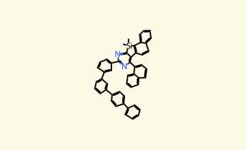 C[Si]1(C)c2nc(-c3cccc(-c4cccc(-c5ccc(-c6ccccc6)cc5)c4)c3)nc(-c3cccc4ccccc34)c2-c2ccc3ccccc3c21